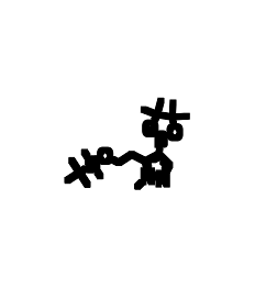 Cn1ncc(B2OC(C)(C)C(C)(C)O2)c1CCO[Si](C)(C)C(C)(C)C